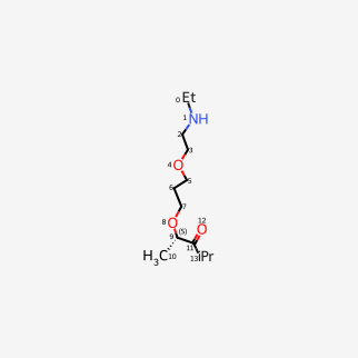 CCNCCOCCCO[C@@H](C)C(=O)C(C)C